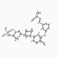 O=C(O)/C=C/c1cccc(Cn2cc(-c3nc(-c4ccc(OC(F)(F)F)cc4)no3)ccc2=O)c1